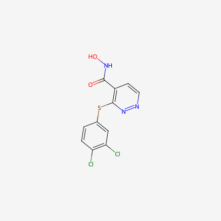 O=C(NO)c1ccnnc1Sc1ccc(Cl)c(Cl)c1